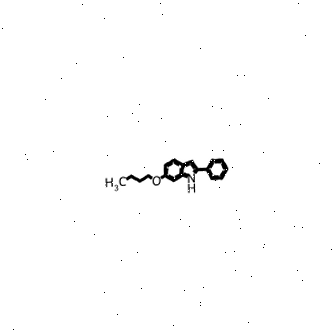 CCCCOc1ccc2cc(-c3ccccc3)[nH]c2c1